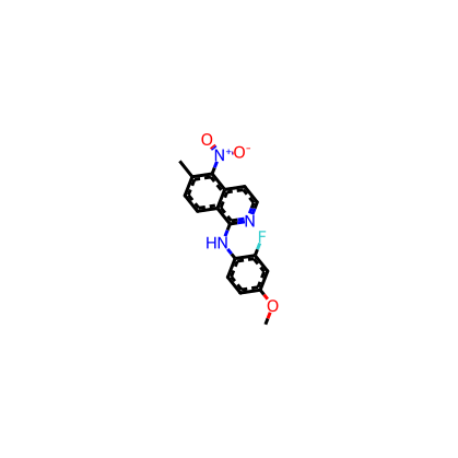 COc1ccc(Nc2nccc3c([N+](=O)[O-])c(C)ccc23)c(F)c1